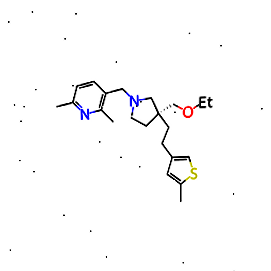 CCOC[C@]1(CCc2csc(C)c2)CCN(Cc2ccc(C)nc2C)C1